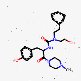 CN1CCN(C(=O)C(Cc2ccc(O)cc2)NC(=O)N(CCO)CCc2ccccc2)CC1